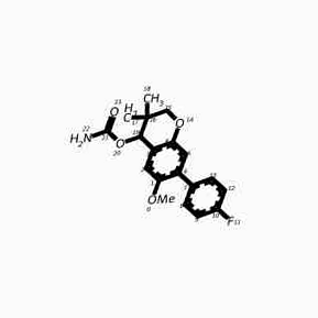 COc1cc2c(cc1-c1ccc(F)cc1)OCC(C)(C)C2OC(N)=O